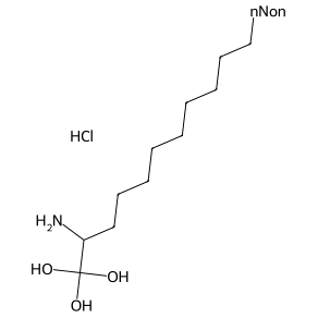 CCCCCCCCCCCCCCCCCCC(N)C(O)(O)O.Cl